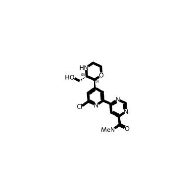 CNC(=O)c1cc(-c2cc([C@@H]3OCCN[C@H]3CO)cc(Cl)n2)ncn1